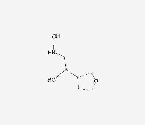 ONCC(O)C1CCOC1